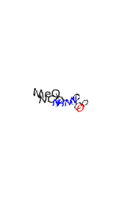 COc1cc(CNCC[C@@]2(c3ccccn3)CCOC3(CCCC3)C2)cnc1C#N